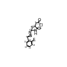 O=C(Cl)CC1SC(=NN=Cc2ccccc2F)NC1=O